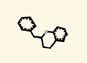 c1ccc(CC2CCc3ccccc3O2)cc1